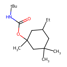 CCC1CC(C)(C)CC(C)(OC(=O)NC(C)(C)C)C1